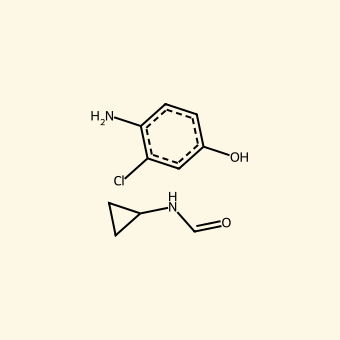 Nc1ccc(O)cc1Cl.O=CNC1CC1